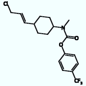 CN(C(=O)Oc1ccc(C(F)(F)F)cc1)C1CCC(C=CCCl)CC1